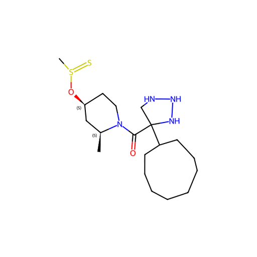 C[C@H]1C[C@@H](OS(C)=S)CCN1C(=O)C1(C2CCCCCCCC2)CNNN1